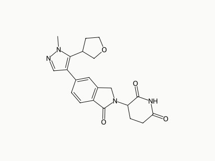 Cn1ncc(-c2ccc3c(c2)CN(C2CCC(=O)NC2=O)C3=O)c1C1CCOC1